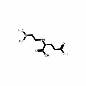 CN(C)CCN[C@@H](CCC(=O)O)C(=O)O